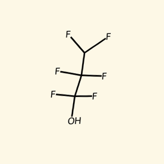 OC(F)(F)C(F)(F)C(F)F